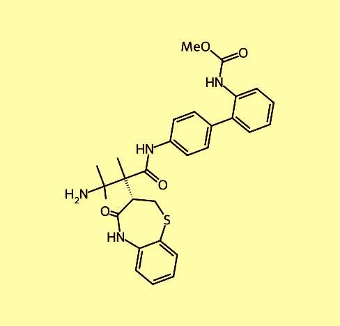 COC(=O)Nc1ccccc1-c1ccc(NC(=O)C(C)([C@@H]2CSc3ccccc3NC2=O)C(C)(C)N)cc1